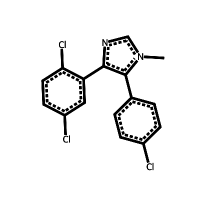 Cn1cnc(-c2cc(Cl)ccc2Cl)c1-c1ccc(Cl)cc1